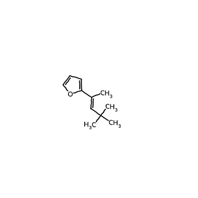 C/C(=C\C(C)(C)C)c1ccco1